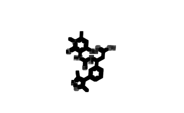 Cc1noc(C)c1-c1cccc(C(CC(=O)O)NC(=O)Nc2c(O)cc(C)n(C)c2=O)c1